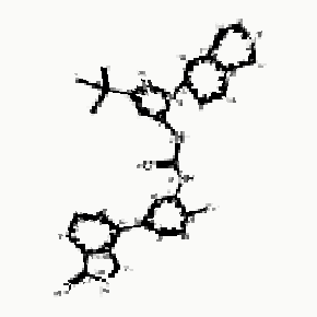 CC(C)(C)c1cc(NC(=O)Nc2cc(-c3cccc4c3CNC4=O)ccc2F)n(-c2ccc3cnccc3c2)n1